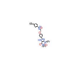 CCCn1c(=O)c2[nH]c(-c3ccc(OCc4nc(-c5ccc(C(C)(C)C)cc5)no4)cc3)nc2n(CCC)c1=O